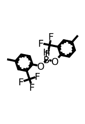 Cc1ccc(OBOc2ccc(C)cc2C(F)(F)F)c(C(F)(F)F)c1